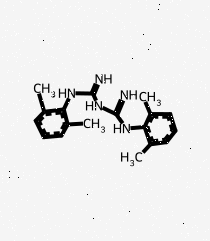 Cc1cccc(C)c1NC(=N)NC(=N)Nc1c(C)cccc1C